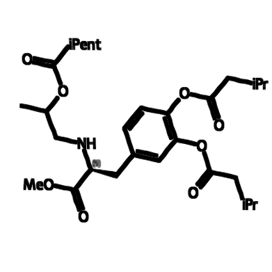 CCCC(C)C(=O)OC(C)CN[C@@H](Cc1ccc(OC(=O)CC(C)C)c(OC(=O)CC(C)C)c1)C(=O)OC